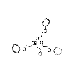 ClCC[Si](OCCOc1ccccc1)(OCCOc1ccccc1)OCCOc1ccccc1